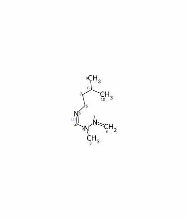 C=NN(C)/C=N\CCC(C)C